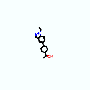 CCn1ncc2cc(C3CCC(C(C)O)CC3)ccc21